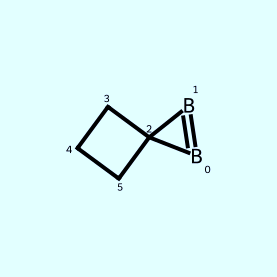 B1=BC12CCC2